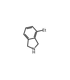 [CH2]Cc1cccc2c1CNC2